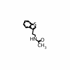 CC(=O)NCCc1csc2ccccc12